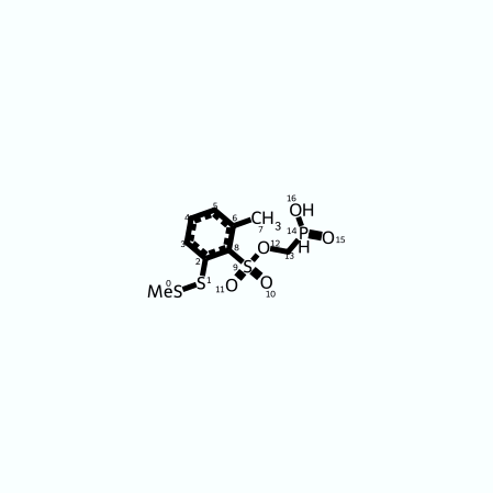 CSSc1cccc(C)c1S(=O)(=O)OC[PH](=O)O